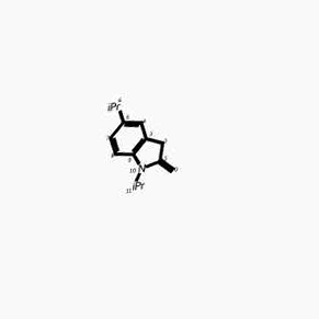 C=C1Cc2cc(C(C)C)ccc2N1C(C)C